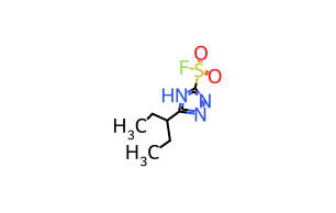 CCC(CC)c1nnc(S(=O)(=O)F)[nH]1